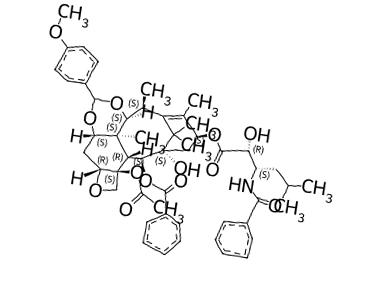 COc1ccc(C2O[C@H]3C[C@H]4OC[C@@]4(OC(C)=O)[C@H]4[C@H](OC(=O)c5ccccc5)[C@]5(O)C[C@H](OC(=O)[C@H](O)[C@H](CC(C)C)NC(=O)c6ccccc6)C(C)=C([C@H](C)[C@H](O2)[C@]34C)C5(C)C)cc1